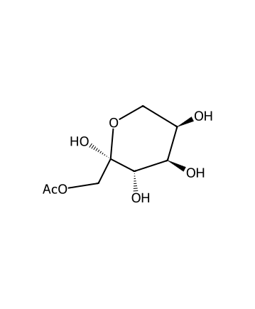 CC(=O)OC[C@@]1(O)OC[C@@H](O)[C@@H](O)[C@@H]1O